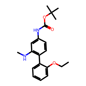 CCOc1ccccc1-c1ccc(NC(=O)OC(C)(C)C)cc1NC